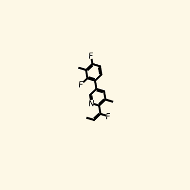 C/C=C(/F)c1ncc(-c2ccc(F)c(C)c2F)cc1C